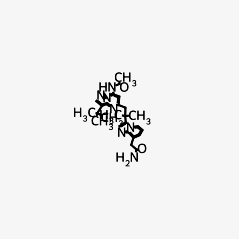 CC(=O)Nc1cc(CC(C)(C)c2cnc3c(CC(N)=O)cccn23)nc2c(C(C)(C)C)cnn12